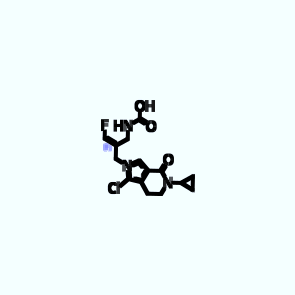 O=C(O)NC/C(=C\F)Cn1cc2c(c1Cl)CCN(C1CC1)C2=O